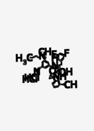 C#Cc1cccc(C2(NC[C@@H](O)[C@H](Cc3cc(F)cc(F)c3)NC(=O)c3cc(C#N)cc(CN(C)CCCC)c3)CC2)c1.Cl.Cl